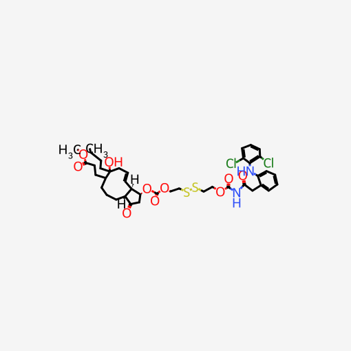 CCCCC1(O)C/C=C/[C@H]2[C@H](OC(=O)OCCSSCCOC(=O)NC(=O)Cc3ccccc3Nc3c(Cl)cccc3Cl)CC(=O)[C@@H]2CCCC1CCC(=O)OC